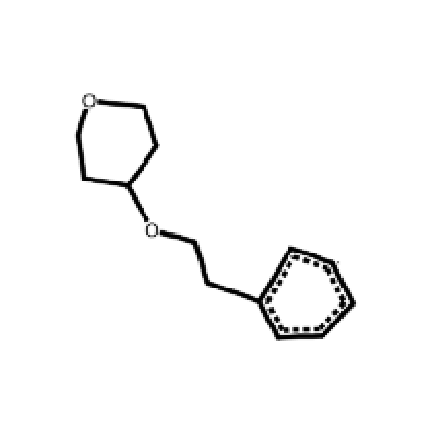 [c]1cccc(CCOC2CCOCC2)c1